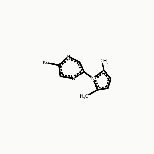 Cc1ccc(C)n1-c1cnc(Br)cn1